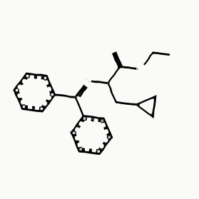 CCOC(=O)C(CC1CC1)N=C(c1ccccc1)c1ccccc1